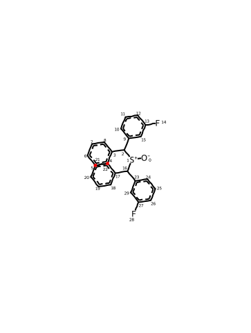 [O-][S+](C(c1ccccc1)c1cccc(F)c1)C(c1ccccc1)c1cccc(F)c1